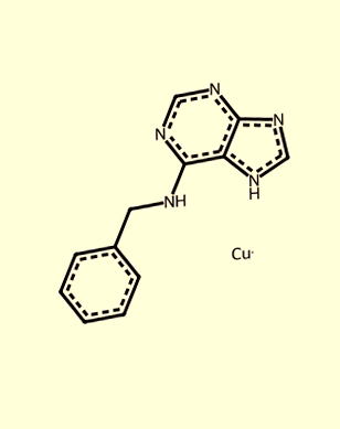 [Cu].c1ccc(CNc2ncnc3nc[nH]c23)cc1